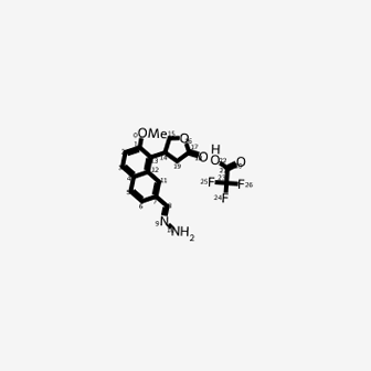 COc1ccc2ccc(C=NN)cc2c1C1COC(=O)C1.O=C(O)C(F)(F)F